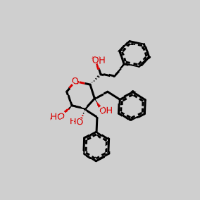 OC(Cc1ccccc1)[C@H]1OC[C@H](O)[C@](O)(Cc2ccccc2)[C@@]1(O)Cc1ccccc1